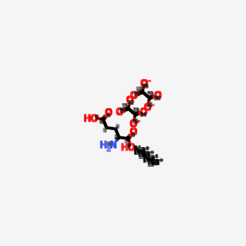 NC(CCC(=O)O)C(=O)O.O=C([O-])C(=O)[O-].O=C([O-])C(=O)[O-].[Na+].[Na+].[Na+].[Na+]